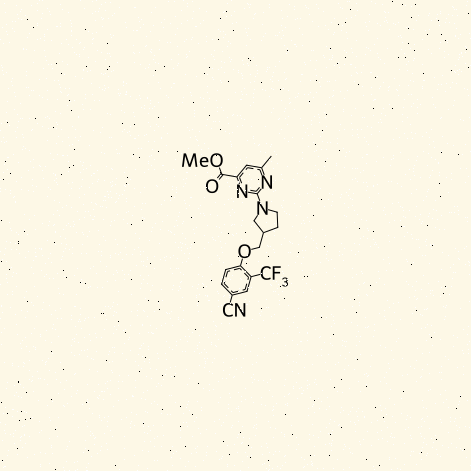 COC(=O)c1cc(C)nc(N2CCC(COc3ccc(C#N)cc3C(F)(F)F)C2)n1